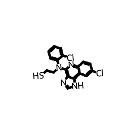 SCCN(c1ccccc1Cl)c1nc2ccc(Cl)cc2c2[nH]cnc12